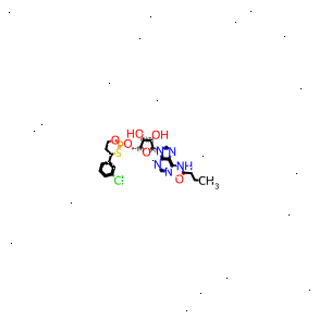 CCCC(=O)Nc1ncnc2c1ncn2[C@@H]1O[C@H](COP2OCCC(c3cccc(Cl)c3)S2)[C@@H](O)[C@H]1O